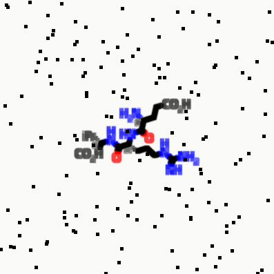 CC(C)[C@H](NC(=O)[C@@H](CCCNC(=N)N)NC(=O)[C@H](N)CCC(=O)O)C(=O)O